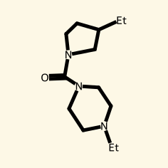 CCC1CCN(C(=O)N2CCN(CC)CC2)C1